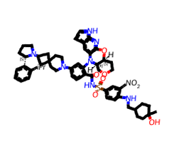 CC(C)c1ccccc1[C@@H]1CCCN1C1CC2(CCN(c3ccc(C(=O)NS(=O)(=O)c4ccc(NCC5CCC(C)(O)CC5)c([N+](=O)[O-])c4)c(N4c5cc6cc[nH]c6nc5O[C@H]5CCOC[C@H]54)c3)CC2)C1